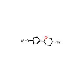 CCCC1CCC(c2ccc(OC)cc2)OC1